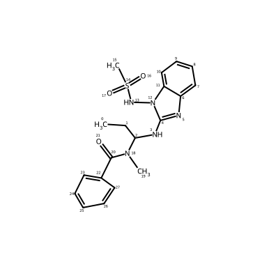 CCC(Nc1nc2ccccc2n1NS(C)(=O)=O)N(C)C(=O)c1ccccc1